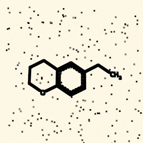 CCc1ccc2c(c1)CCCO2